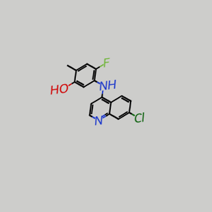 Cc1cc(F)c(Nc2ccnc3cc(Cl)ccc23)cc1O